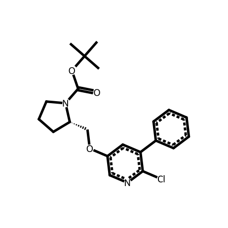 CC(C)(C)OC(=O)N1CCC[C@H]1COc1cnc(Cl)c(-c2ccccc2)c1